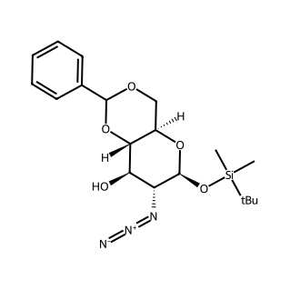 CC(C)(C)[Si](C)(C)O[C@@H]1O[C@@H]2COC(c3ccccc3)O[C@H]2[C@H](O)[C@H]1N=[N+]=[N-]